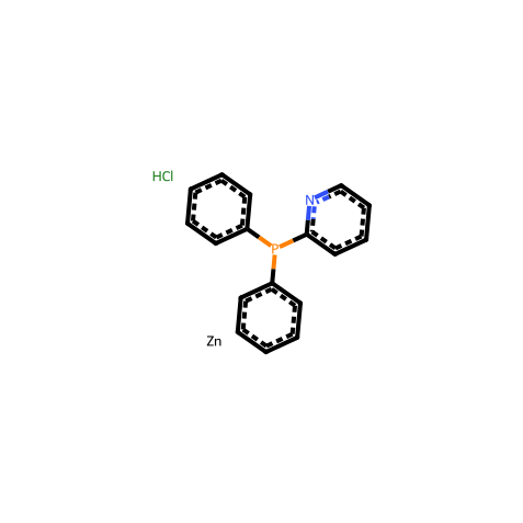 Cl.[Zn].c1ccc(P(c2ccccc2)c2ccccn2)cc1